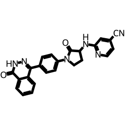 N#Cc1ccnc(NC2CCN(c3ccc(-c4n[nH]c(=O)c5ccccc45)cc3)C2=O)c1